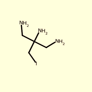 NCC(N)(CN)CI